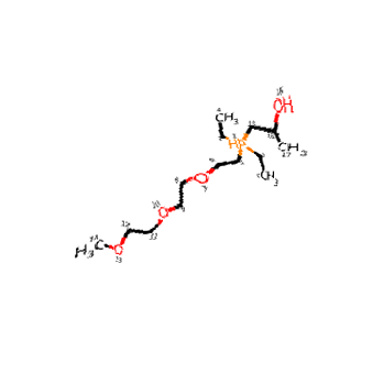 CC[PH](CC)(CCOCCOCCOC)CC(C)O